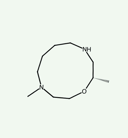 C[C@H]1CNCCCCN(C)CCO1